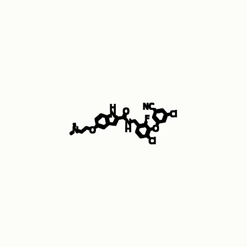 CN(C)CCOc1ccc2[nH]c(C(=O)NCc3ccc(Cl)c(Oc4cc(Cl)cc(C#N)c4)c3F)cc2c1